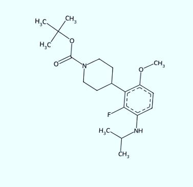 COc1ccc(NC(C)C)c(F)c1C1CCN(C(=O)OC(C)(C)C)CC1